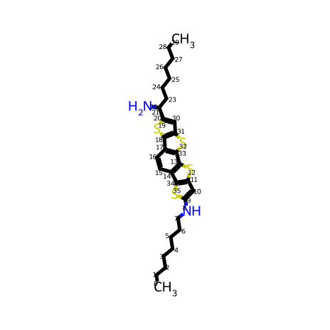 CCCCCCCCNc1cc2sc3c(ccc4c5sc(C(N)CCCCCCC)cc5sc43)c2s1